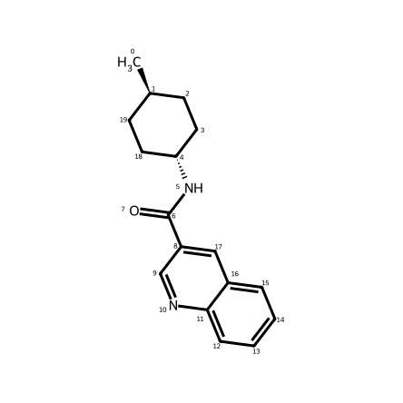 C[C@H]1CC[C@H](NC(=O)c2cnc3ccccc3c2)CC1